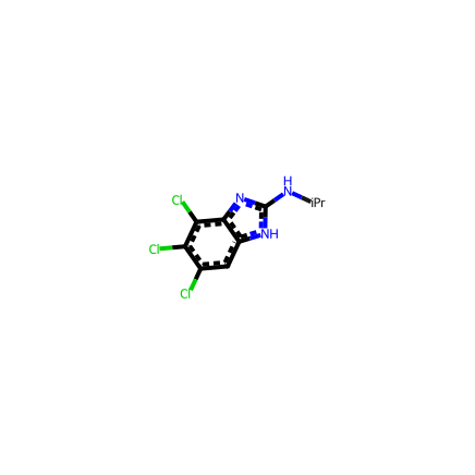 CC(C)Nc1nc2c(Cl)c(Cl)c(Cl)cc2[nH]1